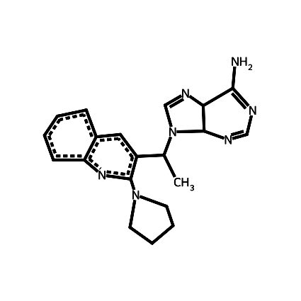 CC(c1cc2ccccc2nc1N1CCCC1)N1C=NC2C(N)=NC=NC21